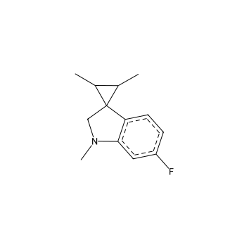 CC1C(C)C12CN(C)c1cc(F)ccc12